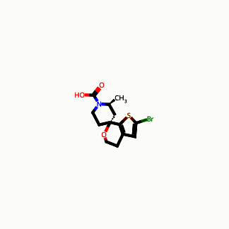 C[C@H]1C[C@@]2(CCN1C(=O)O)OCCc1cc(Br)sc12